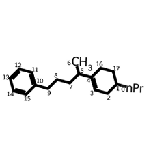 CCCC1CC=C(C(C)CCCc2ccccc2)CC1